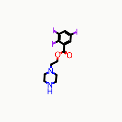 O=C(OCCN1CCNCC1)c1cc(I)cc(I)c1I